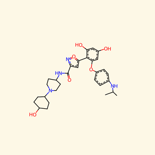 CC(C)Nc1ccc(Oc2cc(O)cc(O)c2-c2cc(C(=O)NC3CCN(C4CCC(O)CC4)CC3)no2)cc1